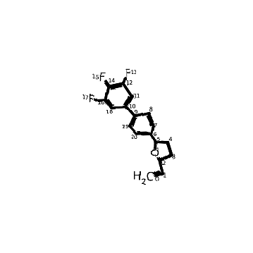 C=CC1CCC(c2ccc(-c3cc(F)c(F)c(F)c3)cc2)O1